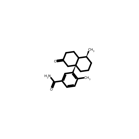 Cc1ccc(C(N)=O)cc1[C@]12CCC[C@H](C)C1CCC(=O)C2